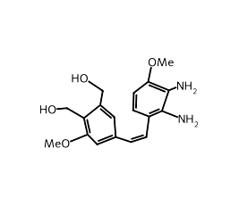 COc1ccc(/C=C\c2cc(CO)c(CO)c(OC)c2)c(N)c1N